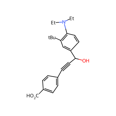 CCN(CC)c1ccc(C(O)C#Cc2ccc(C(=O)O)cc2)cc1C(C)(C)C